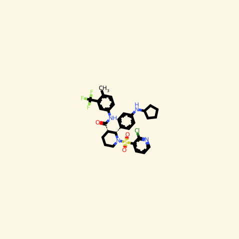 Cc1ccc(NC(=O)[C@H]2CCCN(S(=O)(=O)c3cccnc3Cl)[C@H]2c2ccc(NC3CCCC3)cc2)cc1C(F)(F)F